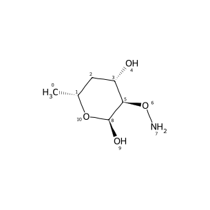 C[C@@H]1C[C@H](O)[C@@H](ON)[C@@H](O)O1